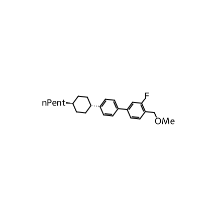 CCCCC[C@H]1CC[C@H](c2ccc(-c3ccc(COC)c(F)c3)cc2)CC1